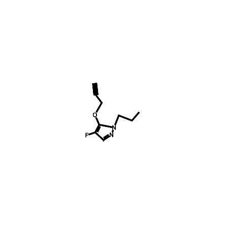 C#CCOc1c(F)[c]nn1CCC